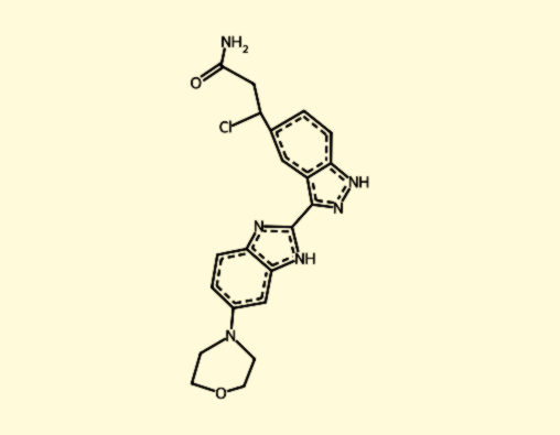 NC(=O)CC(Cl)c1ccc2[nH]nc(-c3nc4ccc(N5CCOCC5)cc4[nH]3)c2c1